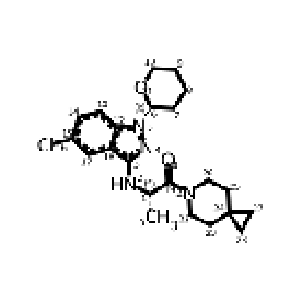 C[C@H](Nc1nn([C@H]2CCCCO2)c2ccc(Cl)cc12)C(=O)N1CCC2(CC1)CC2